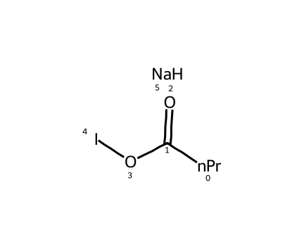 CCCC(=O)OI.[NaH]